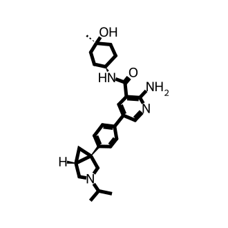 CC(C)N1C[C@@H]2C[C@]2(c2ccc(-c3cnc(N)c(C(=O)N[C@H]4CC[C@](C)(O)CC4)c3)cc2)C1